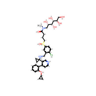 CN(C[C@H](O)[C@@H](O)[C@H](O)[C@H](O)CO)C(=O)CCC[S+]([O-])c1ccc(Cl)c(CNC2(c3cnccc3-c3ccccc3OC3CC3)CC2)c1